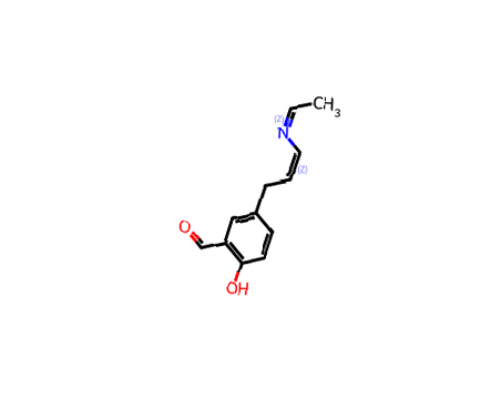 C/C=N\C=C/Cc1ccc(O)c(C=O)c1